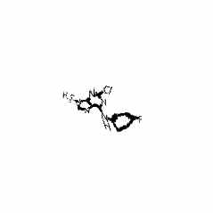 Cn1cnc2c(Nc3ccc(F)cc3)nc(Cl)nc21